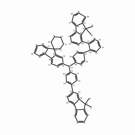 CC1(C)c2ccccc2-c2ccc(-c3ccc(N(c4ccc(-c5ccccc5-c5cccc6c5C(C)(C)c5ccccc5-6)cc4)c4ccc5c(c4)C4(CCCCC4)c4ccccc4-5)cc3)cc21